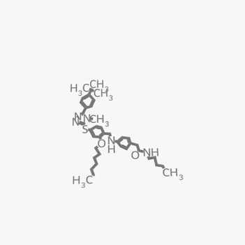 CCCCCCCOc1cc(Sc2nnc(-c3ccc(C(C)(C)C)cc3)n2C)ccc1CNc1ccc(CC(=O)NCCCCC)cc1